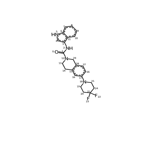 O=C(Nc1c[nH]c2ccccc12)N1CCc2cc(N3CCC(F)(F)CC3)ccc2C1